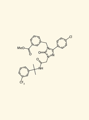 COC(=O)c1cccc(Cn2c(-c3ccc(Cl)cc3)nn(CC(=O)NC(C)(C)c3cccc(C(F)(F)F)c3)c2=O)c1